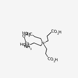 CCOCC.N.O=C(O)CC[N+](CCC(=O)O)(CCC(=O)O)CCC(=O)O